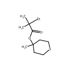 CCC(C)(C)C(=O)OC1(C)CCSCC1